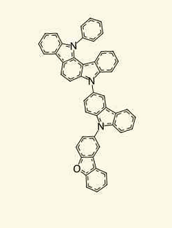 c1ccc(-n2c3ccccc3c3ccc4c(c5ccccc5n4-c4ccc5c(c4)c4ccccc4n5-c4ccc5oc6ccccc6c5c4)c32)cc1